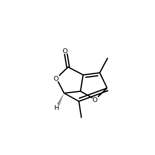 CC1=C2C(=O)O[C@@H]3C(C)=C1OC23